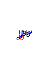 CCCN1C[C@H](C(=O)NC2CCCCC2)CC2c3cccc4c3c(cn4C(C)C)C[C@H]21